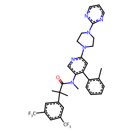 Cc1ccccc1-c1cc(N2CCN(c3ncccn3)CC2)ncc1N(C)C(=O)C(C)(C)c1cc(C(F)(F)F)cc(C(F)(F)F)c1